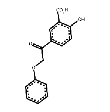 O=C(COc1ccccc1)c1ccc(O)c(C(=O)O)c1